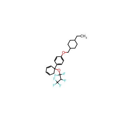 CCC1CCC(COc2ccc(C3(OC(F)(F)C(F)C(F)(F)F)C=CC=CC3)cc2)CC1